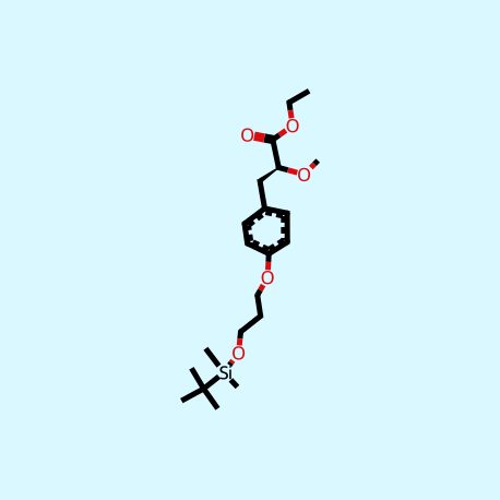 CCOC(=O)[C@H](Cc1ccc(OCCCO[Si](C)(C)C(C)(C)C)cc1)OC